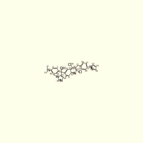 CN(C)c1ccc(C(O)(c2ccc3nc(Cl)c(Cc4ccc(-n5cccn5)cc4)c(Cl)c3c2)c2cncn2C)cc1